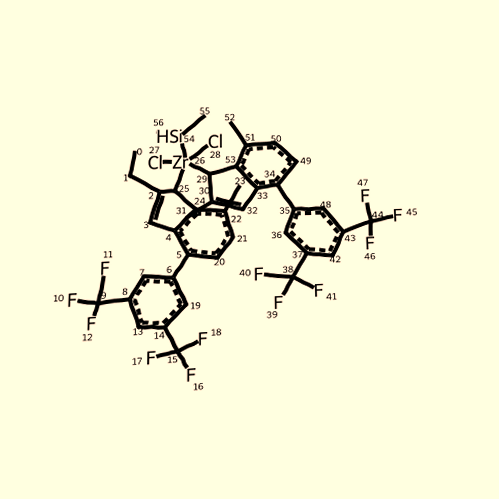 CCC1=Cc2c(-c3cc(C(F)(F)F)cc(C(F)(F)F)c3)ccc(C)c2[CH]1[Zr]([Cl])([Cl])([CH]1C(C)=Cc2c(-c3cc(C(F)(F)F)cc(C(F)(F)F)c3)ccc(C)c21)[SiH](C)C